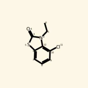 CCn1c(=O)sc2cccc(Cl)c21